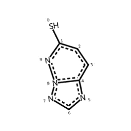 Sc1ccc2ncnn2n1